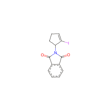 O=C1c2ccccc2C(=O)N1C1CCC=C1I